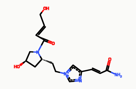 NC(=O)C=Cc1cn(CC[C@@H]2C[C@@H](O)CN2C(=O)C=CCO)cn1